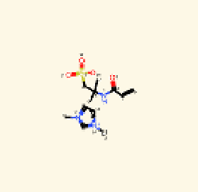 C=CC(=O)NC(C)(C)CS(=O)(=O)[O-].CC[n+]1ccn(C)c1